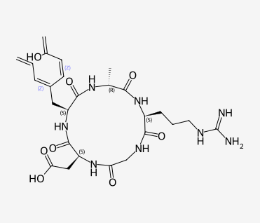 C=C/C=C(\C=C/C(=C)O)C[C@@H]1NC(=O)[C@H](CC(=O)O)NC(=O)CNC(=O)[C@H](CCCNC(=N)N)NC(=O)[C@@H](C)NC1=O